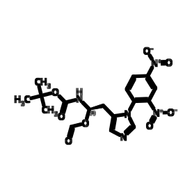 CC(C)(C)OC(=O)N[C@@H](Cc1cncn1-c1ccc([N+](=O)[O-])cc1[N+](=O)[O-])OC=O